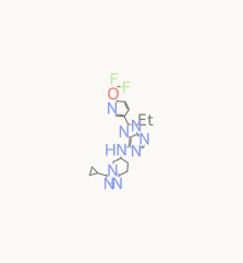 CCn1c(-c2ccc(OC(F)F)nc2)nc2c(NC3CCc4nnc(C5CC5)n4C3)ncnc21